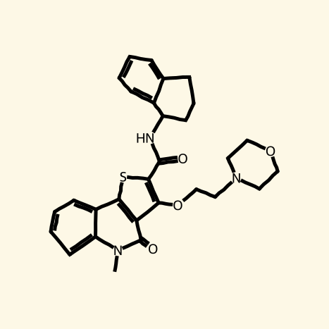 Cn1c(=O)c2c(OCCN3CCOCC3)c(C(=O)NC3CCCc4ccccc43)sc2c2ccccc21